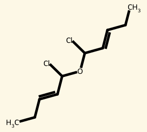 CCC=CC(Cl)OC(Cl)C=CCC